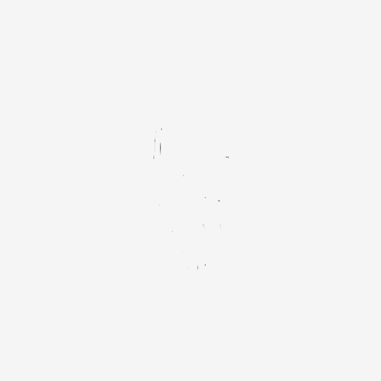 CC=CC(C)(C(=O)C(C)(C)C)C(O)C(C)C